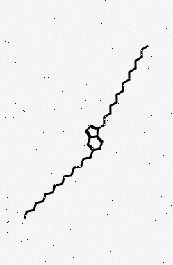 CCCCCCCCCCCCCCCC1=CC2=CC=C(CCCCCCCCCCCCCCC)C2=CC1